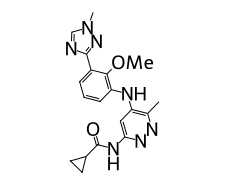 COc1c(Nc2cc(NC(=O)C3CC3)nnc2C)cccc1-c1ncn(C)n1